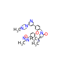 C/C=C(\C)[C@@H]1CC(=O)N(Cc2ccc(-c3cncc(N4CCN(C)CC4)c3)cc2Oc2ccc(-c3nc(C)no3)cc2)C1